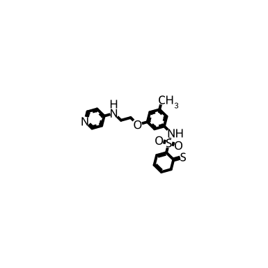 Cc1cc(NS(=O)(=O)C2=CC=CCC2=S)cc(OCCNc2ccncc2)c1